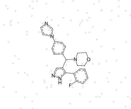 Fc1ccccc1-c1[nH]ncc1C(c1ccc(-n2ccnc2)cc1)N1CCOCC1